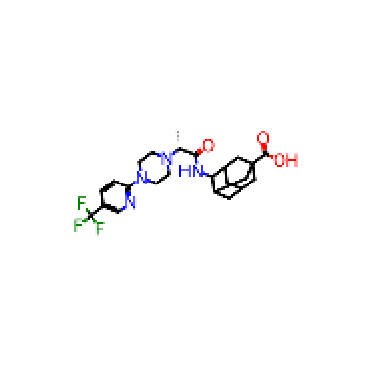 C[C@H](C(=O)NC1C2CC3CC1CC(C(=O)O)(C3)C2)N1CCN(c2ccc(C(F)(F)F)cn2)CC1